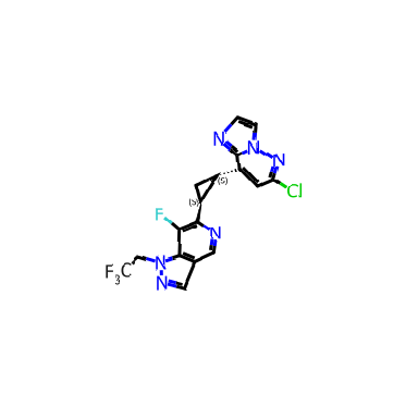 Fc1c([C@H]2C[C@@H]2c2cc(Cl)nn3ccnc23)ncc2cnn(CC(F)(F)F)c12